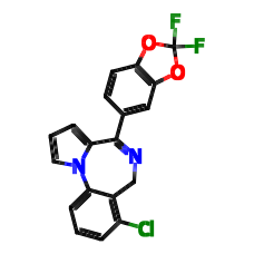 FC1(F)Oc2ccc(C3=NCc4c(Cl)cccc4-n4cccc43)cc2O1